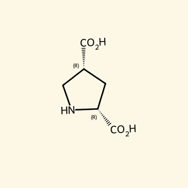 O=C(O)[C@H]1CN[C@@H](C(=O)O)C1